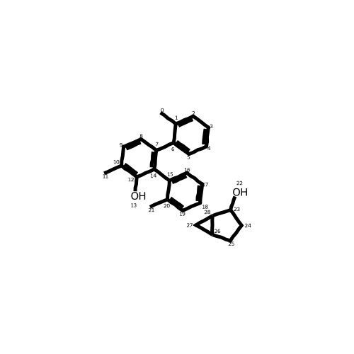 Cc1ccccc1-c1ccc(C)c(O)c1-c1ccccc1C.OC1CCC2CC12